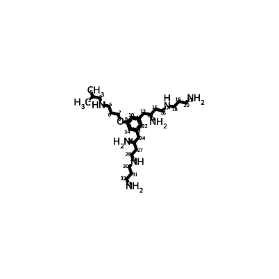 CC(C)CNCCCOc1cc(CC(N)CCNCCCN)cc(CC(N)CCNCCCN)c1